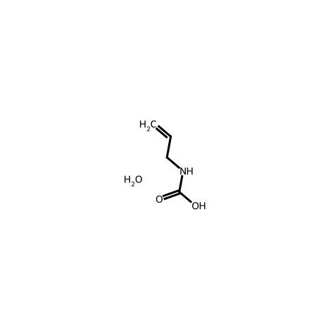 C=CCNC(=O)O.O